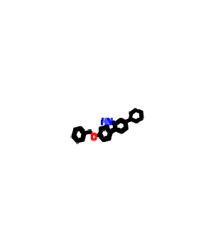 c1ccc(COc2ccc3c(c2)[nH]c2cc(C4CCCCC4)ccc23)cc1